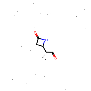 C[C@@H](C=O)C1CC(=O)N1